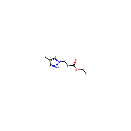 CCOC(=O)CCn1cc(C)cn1